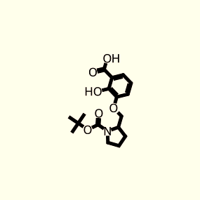 CC(C)(C)OC(=O)N1CCCC1COc1cccc(C(=O)O)c1O